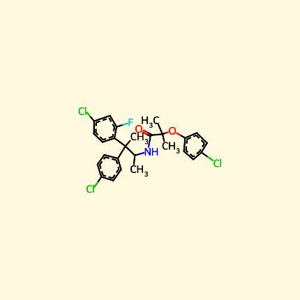 CC(NC(=O)C(C)(C)Oc1ccc(Cl)cc1)C(C)(c1ccc(Cl)cc1)c1ccc(Cl)cc1F